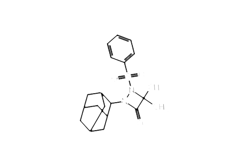 CC1(C)C(=O)N(C2C3CC4CC(C3)CC2C4)N1S(=O)(=O)c1ccccc1